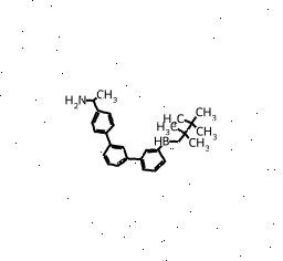 CC(N)c1ccc(-c2cccc(-c3cccc(BCC(C)(C)C(C)(C)C)c3)c2)cc1